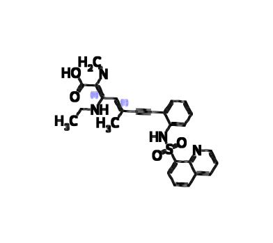 C=N/C(C(=O)O)=C(\C=C(/C)C#Cc1ccccc1NS(=O)(=O)c1cccc2cccnc12)NCC